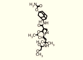 COCC(=O)NC(C)(C)/C=C/n1ncc(C(=O)N[C@H]2C3CC4CC2C[C@](OC(N)=O)(C4)C3)c1OC(C)C